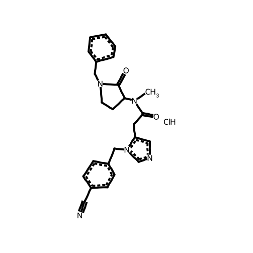 CN(C(=O)Cc1cncn1Cc1ccc(C#N)cc1)C1CCN(Cc2ccccc2)C1=O.Cl